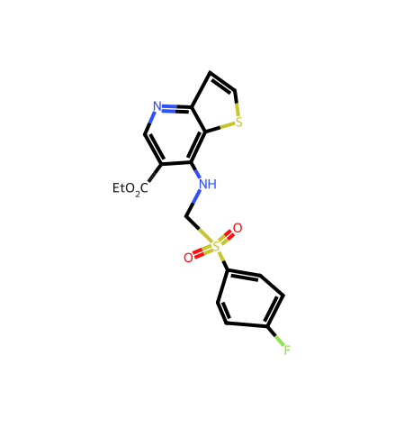 CCOC(=O)c1cnc2ccsc2c1NCS(=O)(=O)c1ccc(F)cc1